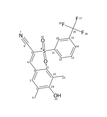 Cc1cc(C=C(C#N)S(=O)(=O)c2cccc(C(F)(F)F)c2)cc(C)c1O